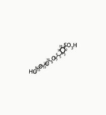 O=S(=O)(O)c1ccc(CCCOCCOCCOCCO)cc1